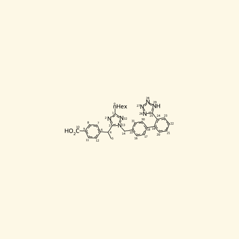 CCCCCCc1nc(C(C)c2ccc(C(=O)O)cc2)n(Cc2ccc(-c3ccccc3-c3nnn[nH]3)cc2)n1